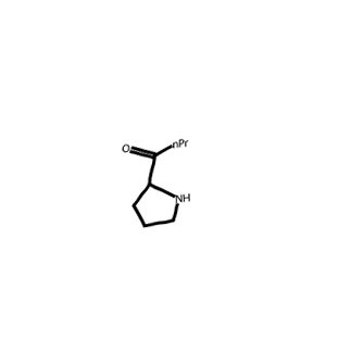 CCCC(=O)C1CCCN1